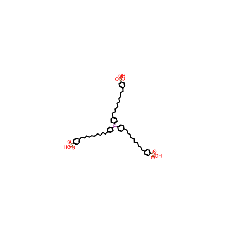 O=S(=O)(O)c1ccc(CCCCCCCCCCc2ccc(P(c3ccc(CCCCCCCCCCc4ccc(S(=O)(=O)O)cc4)cc3)c3ccc(CCCCCCCCCCc4ccc(S(=O)(=O)O)cc4)cc3)cc2)cc1